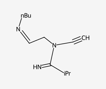 C#CN(C/C=N\CCCC)C(=N)C(C)C